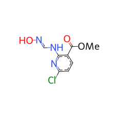 COC(=O)c1ccc(Cl)nc1NC=NO